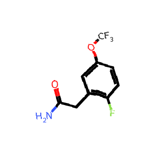 NC(=O)Cc1cc(OC(F)(F)F)ccc1F